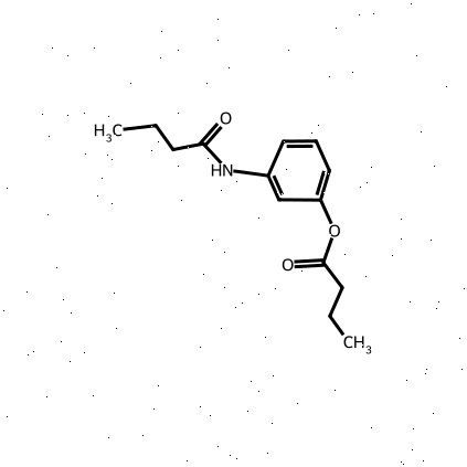 CCCC(=O)Nc1cccc(OC(=O)CCC)c1